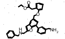 CCOC(=O)Cc1ccccc1OCc1cc(-c2cccc(CN)c2)c2oc(CNCc3ccccc3)cc2c1